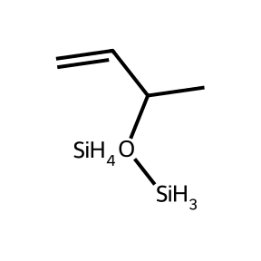 C=CC(C)O[SiH3].[SiH4]